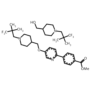 CC(C)(CN1CCC(CO)CC1)C(F)(F)F.COC(=O)c1ccc(-c2ccc(OCC3CCN(CC(C)(C)C(F)(F)F)CC3)cn2)cc1